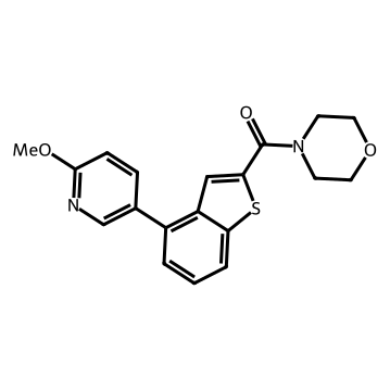 COc1ccc(-c2cccc3sc(C(=O)N4CCOCC4)cc23)cn1